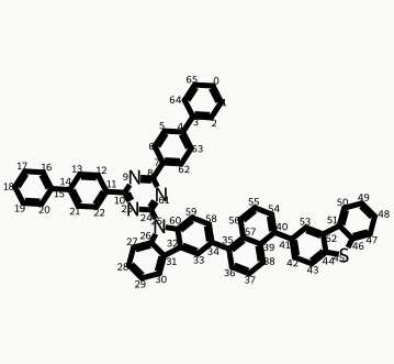 c1ccc(-c2ccc(-c3nc(-c4ccc(-c5ccccc5)cc4)nc(-n4c5ccccc5c5cc(-c6cccc7c(-c8ccc9sc%10ccccc%10c9c8)cccc67)ccc54)n3)cc2)cc1